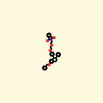 O=C1c2ccccc2C(=O)N1CCOCCOc1ccc([C@@H]2c3ccc(OCc4ccccc4)cc3CC[C@@H]2c2ccccc2)cc1